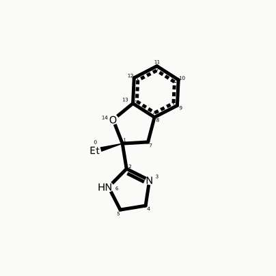 CC[C@]1(C2=NCCN2)Cc2ccccc2O1